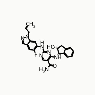 C=CCn1ncc2cc(F)c(Nc3ncc(C(N)=O)c(N[C@H]4c5ccccc5C[C@H]4O)n3)cc21